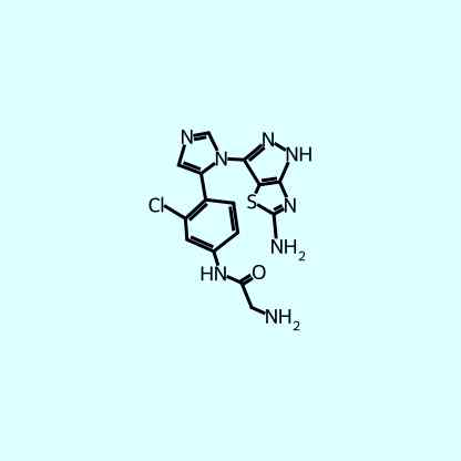 NCC(=O)Nc1ccc(-c2cncn2-c2n[nH]c3nc(N)sc23)c(Cl)c1